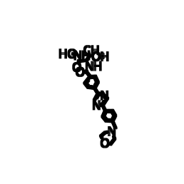 C[C@@H](O)[C@H](NC(=O)c1ccc(-c2cnc(-c3ccc(CN4CCOCC4)cc3)cn2)cc1)C(=O)NO